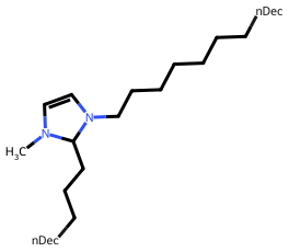 CCCCCCCCCCCCCCCCCN1C=CN(C)C1CCCCCCCCCCCCC